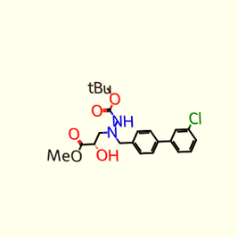 COC(=O)[C@@H](O)CN(Cc1ccc(-c2cccc(Cl)c2)cc1)NC(=O)OC(C)(C)C